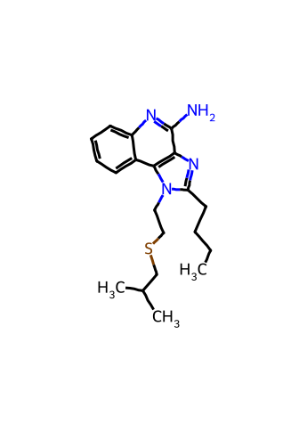 CCCCc1nc2c(N)nc3ccccc3c2n1CCSCC(C)C